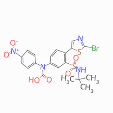 CC(C)(C)NS(=O)(=O)c1cc(N(C(=O)O)c2ccc([N+](=O)[O-])cc2)ccc1-c1cnc(Br)s1